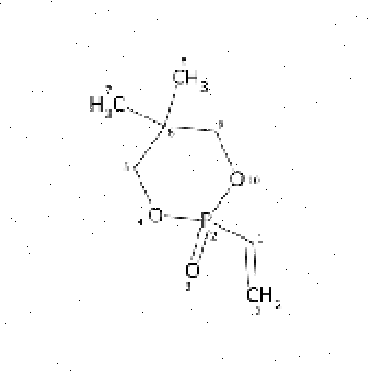 C=CP1(=O)OCC(C)(C)CO1